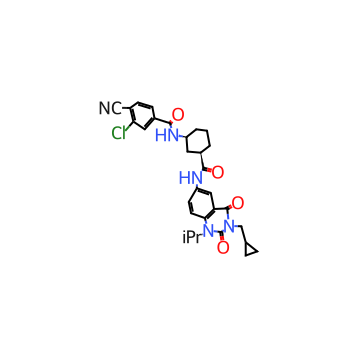 CC(C)n1c(=O)n(CC2CC2)c(=O)c2cc(NC(=O)[C@@H]3CCC[C@H](NC(=O)c4ccc(C#N)c(Cl)c4)C3)ccc21